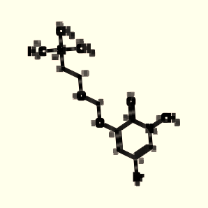 Cn1cc(Br)cc(OCOCC[Si](C)(C)C)c1=O